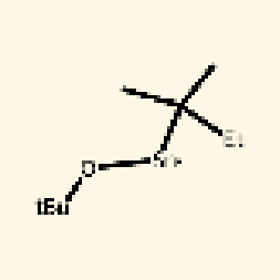 CC[C](C)(C)[Sn][O]C(C)(C)C